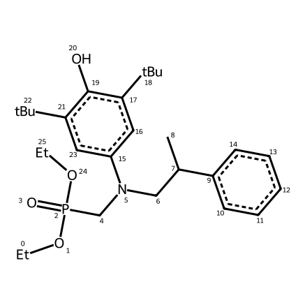 CCOP(=O)(CN(CC(C)c1ccccc1)c1cc(C(C)(C)C)c(O)c(C(C)(C)C)c1)OCC